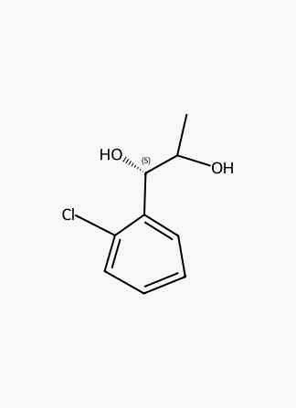 CC(O)[C@@H](O)c1ccccc1Cl